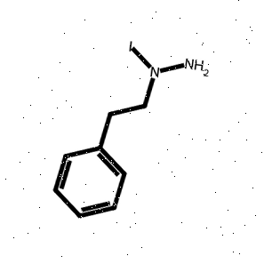 NN(I)CCc1ccccc1